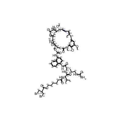 COc1cc2cc(c1Cl)N(C)C(=O)C[C@H](OC(=O)Nc1ccc(NC(=O)[C@H](CCCNC(N)=O)NC(=O)[C@@H](NC(=O)CCCCCOC(=O)C(CBr)CBr)C(C)C)c3cccnc13)[C@]1(C)O[C@H]1[C@H](C)[C@@H]1C[C@@](O)(NC(=O)O1)[C@H](OC)/C=C/C=C(\C)C2